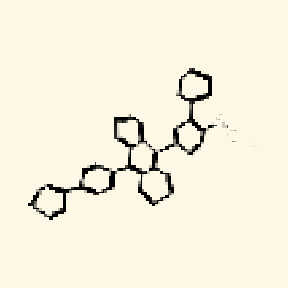 CSc1ccc(-c2c3ccccc3c(-c3ccc(-c4ccccc4)cc3)c3ccccc23)cc1C1=CC=CCC1